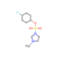 C[n+]1ccn(S(=O)(=O)Oc2ccc(F)cc2)c1